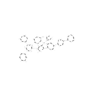 c1ccc(-c2ccc(-c3ccc4c(c3)C3(c5ccccc5Oc5ccccc53)c3cc(-c5nc(-c6ccccc6)nc(-c6ccccc6)n5)ccc3-4)cc2)cc1